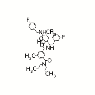 CCCN(CCC)C(=O)c1cc(C)cc(C(=O)N[C@@H](Cc2cc(F)cc(F)c2)[C@@H](O)C[C@@H](C)C(=O)NCc2ccc(F)cc2)c1